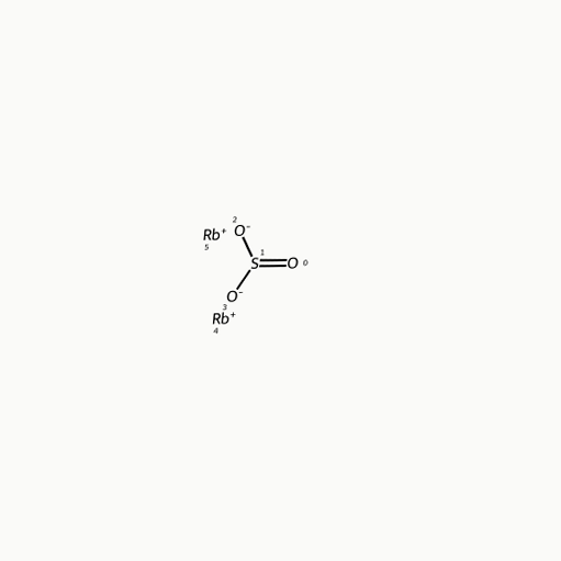 O=S([O-])[O-].[Rb+].[Rb+]